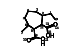 CCC1CCCC(C)C(C(=O)O)C1C(=O)O